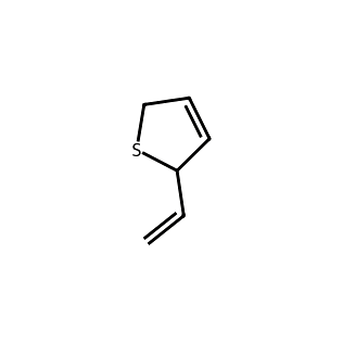 C=CC1C=CCS1